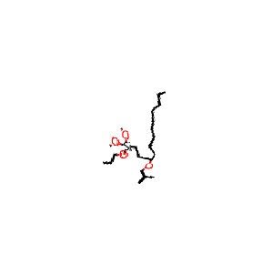 C=C(C)COC(CCCCCCCCC)CC[Si](OC)(OC)OCCC